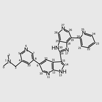 CN(C)Cc1cncc(-c2cnc3[nH]cc(-c4nc5c(-c6ccccn6)cncc5[nH]4)c3c2)c1